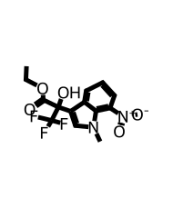 CCOC(=O)C(O)(c1cn(C)c2c([N+](=O)[O-])cccc12)C(F)(F)F